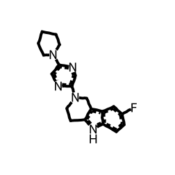 Fc1ccc2[nH]c3c(c2c1)CN(c1cnc(N2CCCCC2)cn1)CC3